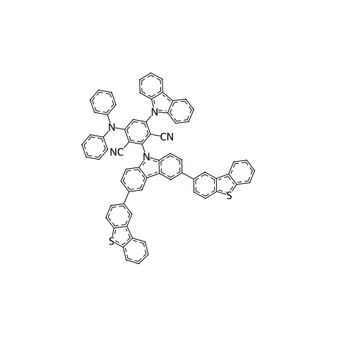 N#Cc1c(N(c2ccccc2)c2ccccc2)cc(-n2c3ccccc3c3ccccc32)c(C#N)c1-n1c2ccc(-c3ccc4sc5ccccc5c4c3)cc2c2cc(-c3ccc4sc5ccccc5c4c3)ccc21